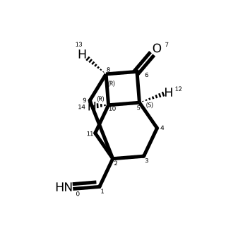 N=CC12CC[C@@H]3C(=O)[C@H](C1)[C@@H]3C2